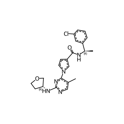 Cc1cnc(N[C@@H]2CCOC2)nc1-n1ccc(C(=O)N[C@H](C)c2cccc(Cl)c2)c1